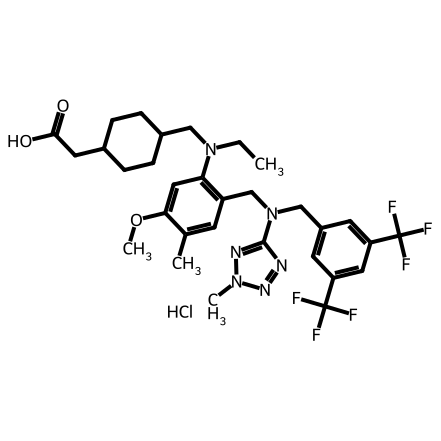 CCN(CC1CCC(CC(=O)O)CC1)c1cc(OC)c(C)cc1CN(Cc1cc(C(F)(F)F)cc(C(F)(F)F)c1)c1nnn(C)n1.Cl